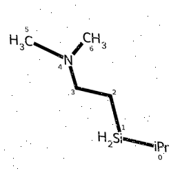 CC(C)[SiH2]CCN(C)C